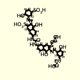 O=C(Nc1ccc2c(O)c(N=Nc3cc(SOOO)ccc3O)c(SOOO)cc2c1)Nc1ccc2c(O)c(N=Nc3cc(S(=O)(=O)O)ccc3O)c(S(=O)(=O)O)cc2c1